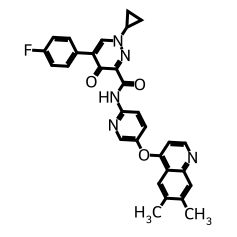 Cc1cc2nccc(Oc3ccc(NC(=O)c4nn(C5CC5)cc(-c5ccc(F)cc5)c4=O)nc3)c2cc1C